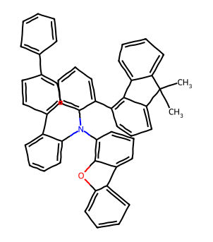 CC1(C)c2ccccc2-c2c(-c3ccccc3N(c3ccccc3-c3ccc(-c4ccccc4)cc3)c3cccc4c3oc3ccccc34)cccc21